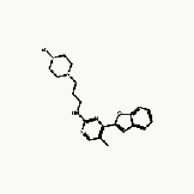 CCN1CCN(CCCNc2ncc(C)c(-c3cc4ccccc4s3)n2)CC1